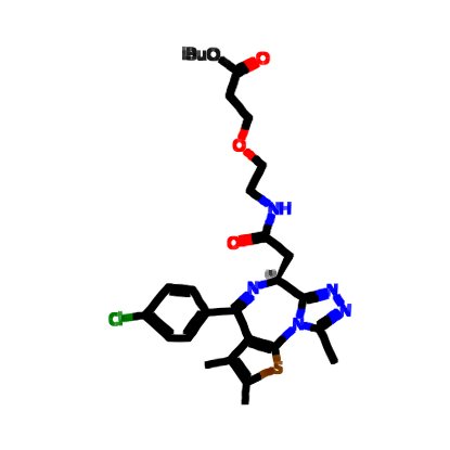 Cc1sc2c(c1C)C(c1ccc(Cl)cc1)=N[C@@H](CC(=O)NCCOCCC(=O)OCC(C)C)c1nnc(C)n1-2